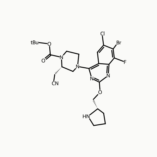 CC(C)(C)OC(=O)N1CCN(c2nc(OC[C@@H]3CCCN3)nc3c(F)c(Br)c(Cl)cc23)C[C@@H]1CC#N